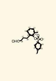 Cc1ccc(S(=O)(=O)Oc2c(C)cccc2CCCC=O)cc1